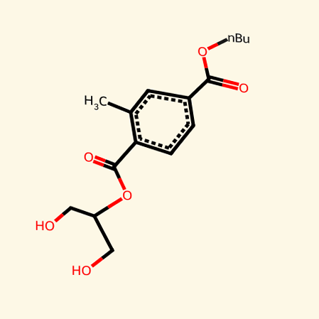 CCCCOC(=O)c1ccc(C(=O)OC(CO)CO)c(C)c1